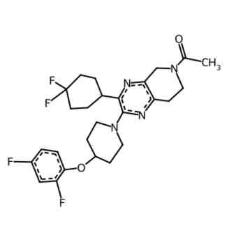 CC(=O)N1CCc2nc(N3CCC(Oc4ccc(F)cc4F)CC3)c(C3CCC(F)(F)CC3)nc2C1